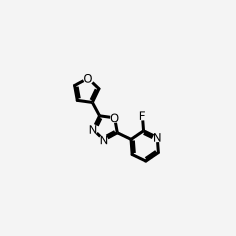 Fc1ncccc1-c1nnc(-c2ccoc2)o1